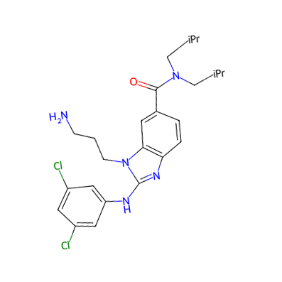 CC(C)CN(CC(C)C)C(=O)c1ccc2nc(Nc3cc(Cl)cc(Cl)c3)n(CCCN)c2c1